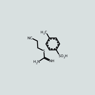 Cc1ccc(S(=O)(=O)O)cc1.N#CCCSC(=N)N